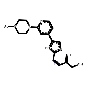 CC(=O)N1CCN(c2cc(-c3cnc(/C=C\C(=N)CO)[nH]3)ccn2)CC1